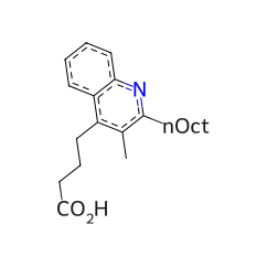 CCCCCCCCc1nc2ccccc2c(CCCC(=O)O)c1C